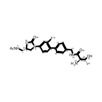 CC(=O)NC[C@H]1CN(c2ccc(-c3ccc(CNC(=O)[C@H](N)[C@@H](C)O)cc3)c(F)c2)C(=O)O1